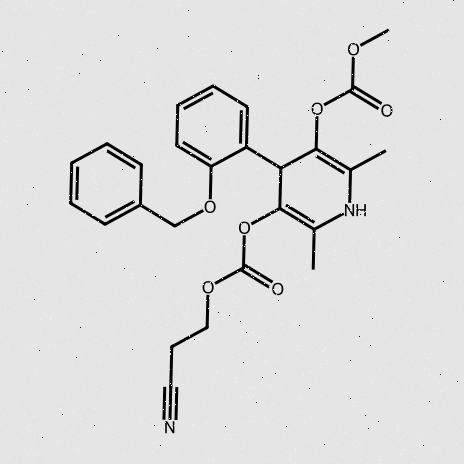 COC(=O)OC1=C(C)NC(C)=C(OC(=O)OCCC#N)C1c1ccccc1OCc1ccccc1